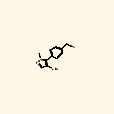 Cn1ncc(C=O)c1-c1ccc(CN)cc1